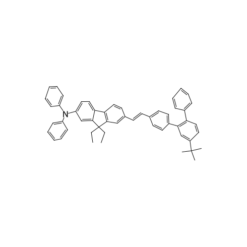 CCC1(CC)c2cc(/C=C/c3ccc(-c4cc(C(C)(C)C)ccc4-c4ccccc4)cc3)ccc2-c2ccc(N(c3ccccc3)c3ccccc3)cc21